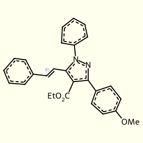 CCOC(=O)c1c(-c2ccc(OC)cc2)nn(-c2ccccc2)c1/C=C/c1ccccc1